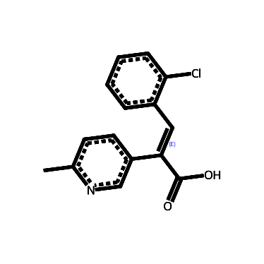 Cc1ccc(/C(=C\c2ccccc2Cl)C(=O)O)cn1